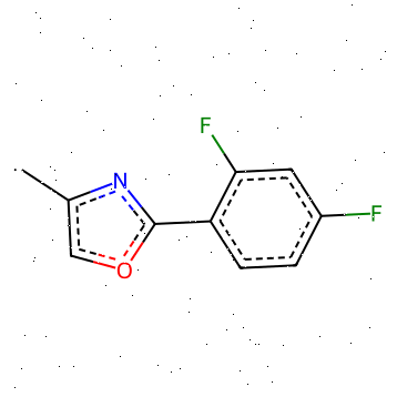 [CH2]c1coc(-c2ccc(F)cc2F)n1